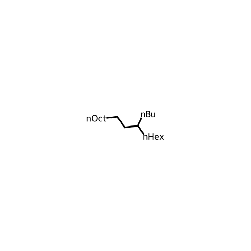 [CH2]CCCCCC(CCCC)CCCCCCCCCC